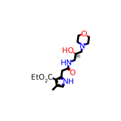 CCOC(=O)c1c(C)c[nH]c1CC(=O)NC[C@@H](O)CN1CCOCC1